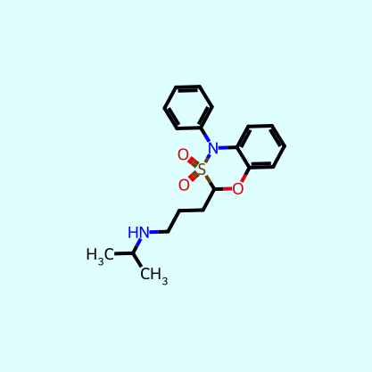 CC(C)NCCCC1Oc2ccccc2N(c2ccccc2)S1(=O)=O